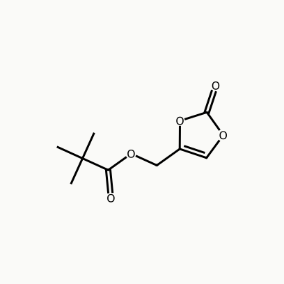 CC(C)(C)C(=O)OCc1coc(=O)o1